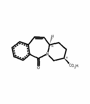 O=C(O)[C@@H]1CC[C@@H]2C=Cc3ccccc3C(=O)N2C1